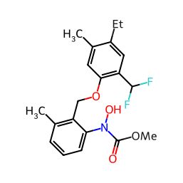 CCc1cc(C(F)F)c(OCc2c(C)cccc2N(O)C(=O)OC)cc1C